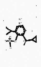 CC(C)c1cccc([C@H](C)C2CC2)c1OP(=O)([O-])[O-].[K+].[K+]